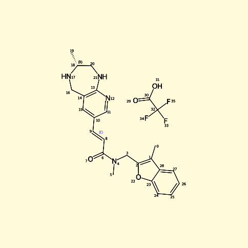 Cc1c(CN(C)C(=O)/C=C/c2cnc3c(c2)CN[C@H](C)CN3)oc2ccccc12.O=C(O)C(F)(F)F